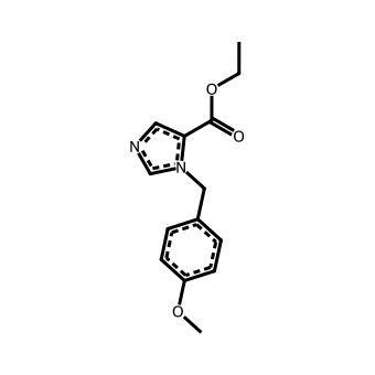 CCOC(=O)c1cncn1Cc1ccc(OC)cc1